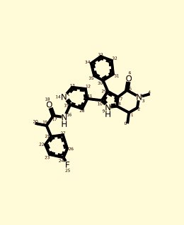 CC1CN(C)C(=O)c2c1[nH]c(-c1ccnc(NC(=O)C(C)c3ccc(F)cc3)c1)c2-c1ccccc1